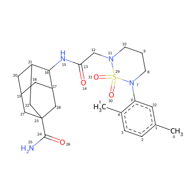 Cc1ccc(C)c(N2CCCN(CC(=O)NC3C4CC5CC3CC(C(N)=O)(C5)C4)S2(=O)=O)c1